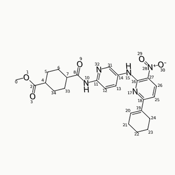 COC(=O)C1CCC(C(=O)Nc2ccc(Nc3nc(C4=CCCCC4)ccc3[N+](=O)[O-])cn2)CC1